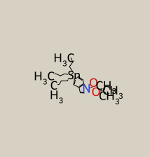 CCC[CH2][Sn]([CH2]CCC)([CH2]CCC)[c]1ccc2c(ccn2C(=O)OC(C)(C)C)c1